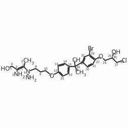 C/C(=C(/N)CO)N(N)CCCOc1ccc(C(C)(C)c2ccc(OC[C@@H](O)CCl)c(Br)c2)cc1